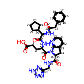 O=C(O)CCC(NC(=O)C(NC(=O)Cc1ccccc1)C1CCCC1)C(=O)N1c2ncccc2C[C@H]1C(=O)NCc1nn[nH]n1